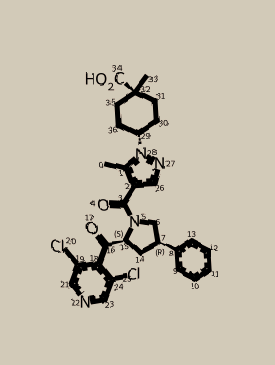 Cc1c(C(=O)N2C[C@@H](c3ccccc3)C[C@H]2C(=O)c2c(Cl)cncc2Cl)cnn1[C@H]1CC[C@](C)(C(=O)O)CC1